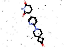 O=C1CC2(CCN(c3ccc([C@H]4CCC(=O)NC4=O)cn3)CC2)C1